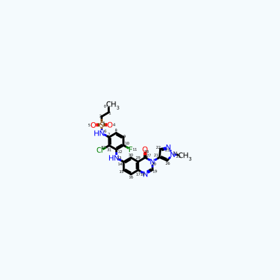 CCCS(=O)(=O)Nc1ccc(F)c(Nc2ccc3ncn(-c4cnn(C)c4)c(=O)c3c2)c1Cl